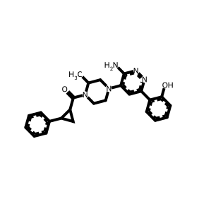 CC1CN(c2cc(-c3ccccc3O)nnc2N)CCN1C(=O)C1CC1c1ccccc1